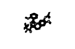 COc1cc2c(cc1OC(C)C)-n1c(-c3ccccc3OC)nc(C(=O)N(C)C(C)(C)C)c1CC2